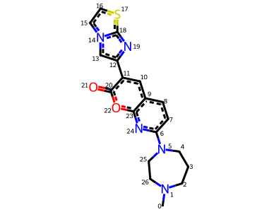 CN1CCCN(c2ccc3cc(-c4cn5ccsc5n4)c(=O)oc3n2)CC1